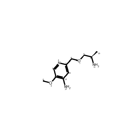 COc1cnc(COC[C@@H](C)N)cc1N